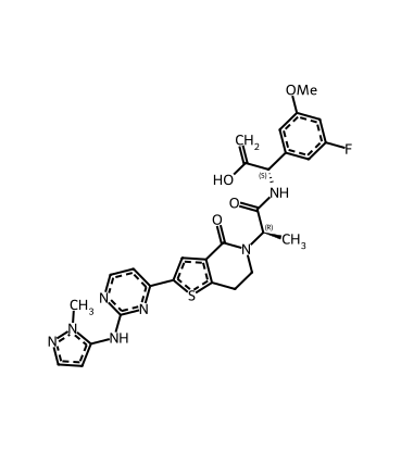 C=C(O)[C@@H](NC(=O)[C@@H](C)N1CCc2sc(-c3ccnc(Nc4ccnn4C)n3)cc2C1=O)c1cc(F)cc(OC)c1